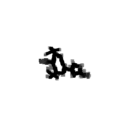 CC(C)(C)c1cc(-c2csc(N)n2)cc(C(C)(C)C)c1O